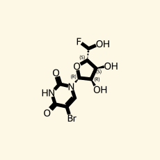 O=c1[nH]c(=O)n([C@@H]2O[C@H](C(O)F)[C@@H](O)[C@H]2O)cc1Br